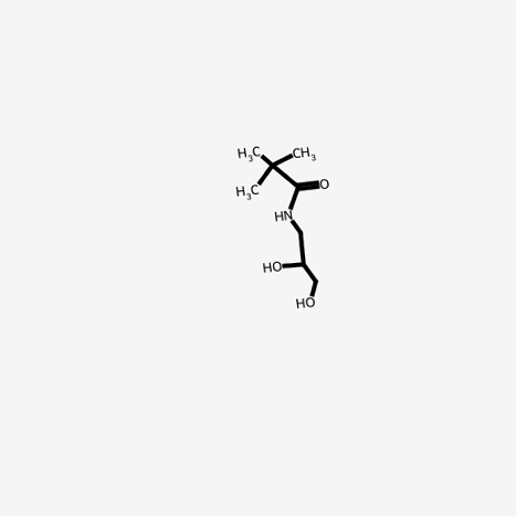 CC(C)(C)C(=O)NCC(O)CO